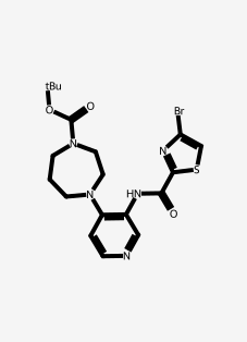 CC(C)(C)OC(=O)N1CCCN(c2ccncc2NC(=O)c2nc(Br)cs2)CC1